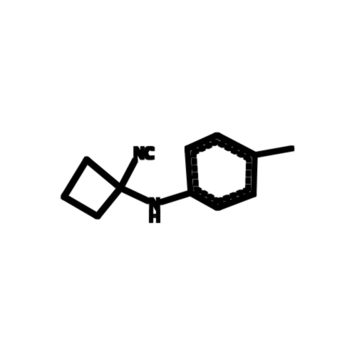 [C-]#[N+]C1(Nc2ccc(C)cc2)CCC1